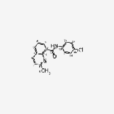 Cc1ccc2cccc(C(=O)Nc3ccc(Cl)cc3)c2n1